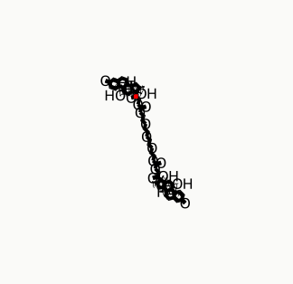 C[C@@H]1C[C@H]2[C@@H]3CCC4=CC(=O)C=C[C@]4(C)[C@@]3(F)[C@@H](O)C[C@]2(C)[C@@]1(O)C(=O)COC(=O)OCCOCCOCCOCCOC(=O)OCC(=O)[C@@]1(O)[C@H](C)C[C@H]2[C@@H]3CCC4=CC(=O)C=C[C@]4(C)[C@@]3(F)[C@@H](O)C[C@@]21C